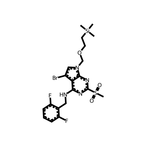 C[Si](C)(C)CCOCn1cc(Br)c2c(NCc3c(F)cccc3F)nc(S(C)(=O)=O)nc21